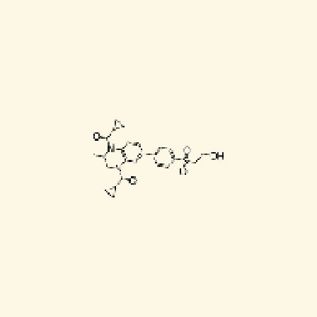 CC1CN(C(=O)C2CC2)c2cc(-c3ccc(S(=O)(=O)CCO)cc3)ccc2N1C(=O)C1CC1